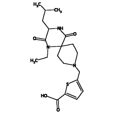 CCN1C(=O)C(CC(C)C)NC(=O)C12CCN(Cc1ccc(C(=O)O)s1)CC2